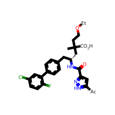 CCOCCC(C)(C[C@@H](Cc1ccc(-c2cc(Cl)ccc2F)cc1)NC(=O)c1cc(C(C)=O)[nH]n1)C(=O)O